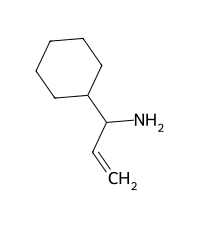 C=CC(N)C1CCCCC1